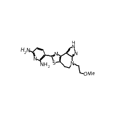 COCCN1CCc2sc(-c3ccc(N)nc3N)nc2-c2c[nH]nc21